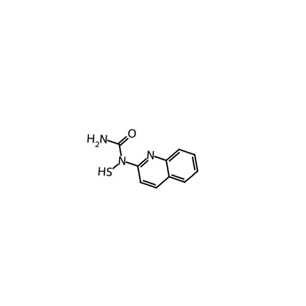 NC(=O)N(S)c1ccc2ccccc2n1